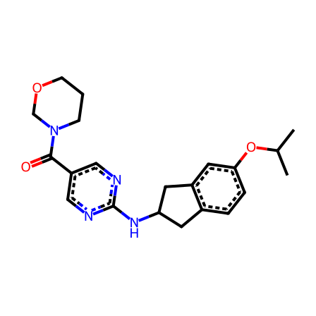 CC(C)Oc1ccc2c(c1)CC(Nc1ncc(C(=O)N3CCCOC3)cn1)C2